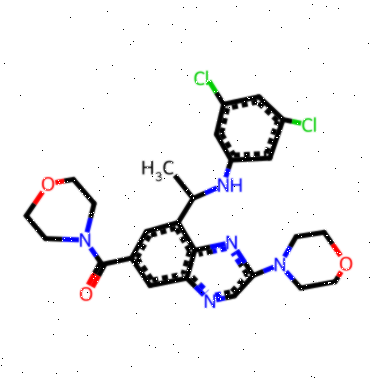 CC(Nc1cc(Cl)cc(Cl)c1)c1cc(C(=O)N2CCOCC2)cc2ncc(N3CCOCC3)nc12